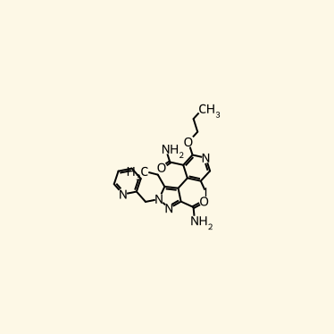 CCCOc1ncc(I)c(-c2c(C(N)=O)nn(Cc3ccccn3)c2CC)c1C(N)=O